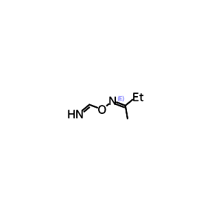 CC/C(C)=N/OC=N